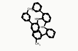 Cc1cccc(-c2ccccc2Nc2cccc(-c3ccccc3)c2Nc2ccccc2-c2cccc(C)c2)c1